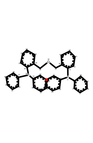 c1ccc(P(c2ccccc2)c2ccccc2COCc2ccccc2P(c2ccccc2)c2ccccc2)cc1